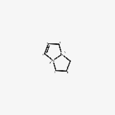 C1=CN2CCCN2C1